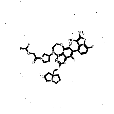 N#Cc1c(N)sc2c(F)ccc(-c3c(Cl)c4c5c(nc(OC[C@@]67CCCN6C[C@H](F)C7)nc5c3F)N(C3CCN(C(=O)COC(F)F)C3)CCO4)c12